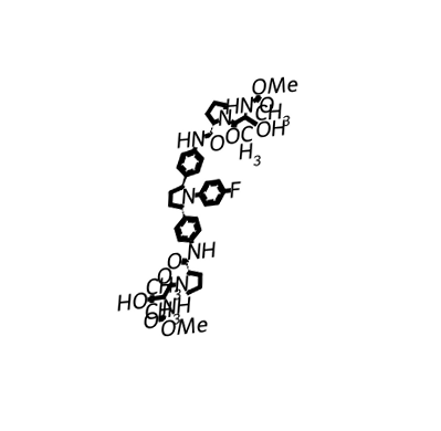 COC(=O)N[C@H](C(=O)N1CCC[C@H]1C(=O)Nc1ccc([C@@H]2CC[C@@H](c3ccc(NC(=O)[C@@H]4CCCN4C(=O)[C@@H](NC(=O)OC)C(C)(C)O)cc3)N2c2ccc(F)cc2)cc1)C(C)(C)O